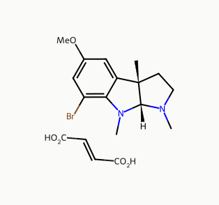 COc1cc(Br)c2c(c1)[C@]1(C)CCN(C)[C@@H]1N2C.O=C(O)C=CC(=O)O